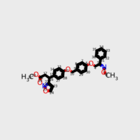 CO/N=C(\COc1ccc(COc2ccc(C(CC(=O)OC)c3ccon3)cc2)cc1)c1ccccc1